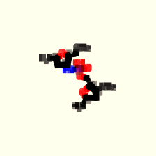 B[C@H]1C[C@H](NC)[C@@H](COP(=O)(O)N[C@H]2C[C@H](B)O[C@@H]2COC)O1